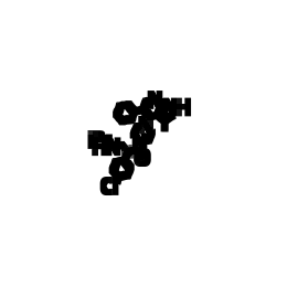 Cc1c[nH]c2ncc(-c3ccccc3)c(N3CCN(C(=O)[C@H](CNC(C)C)c4ccc(Cl)cc4)CC3)c12